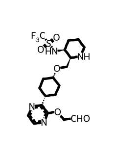 O=CCOc1nccnc1[C@H]1CC[C@@H](OC[C@@H]2NCCC[C@@H]2NS(=O)(=O)C(F)(F)F)CC1